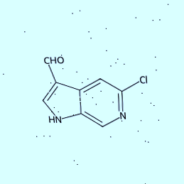 O=Cc1c[nH]c2cnc(Cl)cc12